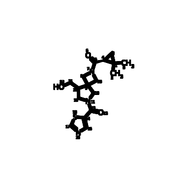 CC1(C)C[C@@H]1C(=O)N1CC2(CN(C(=O)c3cncs3)CC2CO)C1